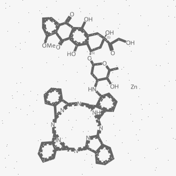 COc1cccc2c1C(=O)c1c(O)c3c(c(O)c1C2=O)C[C@@](O)(C(=O)CO)C[C@@H]3OC1CC(Nc2cccc3c4nc5nc(nc6[nH]c(nc7nc(nc([nH]4)c23)-c2ccccc2-7)c2ccccc62)-c2ccccc2-5)C(O)C(C)O1.[Zn]